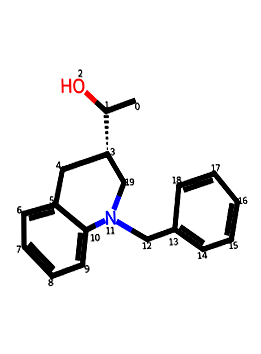 CC(O)[C@H]1Cc2ccccc2N(Cc2ccccc2)C1